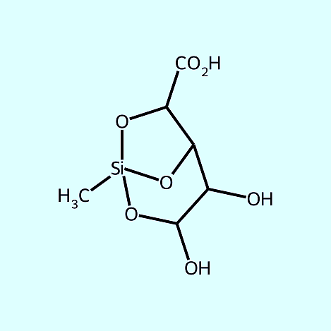 C[Si]12OC(O)C(O)C(O1)C(C(=O)O)O2